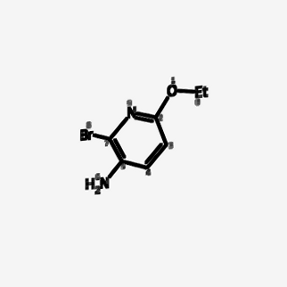 CCOc1ccc(N)c(Br)n1